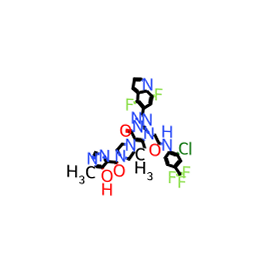 CCc1c(N2CCN(C(=O)c3ncnc(C)c3O)CC2)c(=O)n2nc(-c3cc(F)c4ncccc4c3F)nc2n1CC(=O)Nc1ccc(C(F)(F)F)cc1Cl